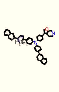 C=C(/C=C\C(=C/C)c1ccc2ccccc2c1)c1ccc(N(c2ccc(-c3ccc4ccccc4c3)cc2)c2ccc(-c3coc4cnccc34)cc2)cc1